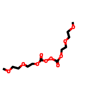 COCCOCCOC(=O)OOC(=O)OCCOCCOC